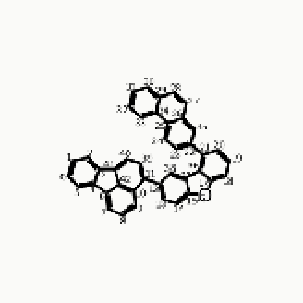 c1ccc2c(c1)-c1cccc3c(-c4ccc5oc6cccc(-c7ccc8c(ccc9ccccc98)c7)c6c5c4)ccc-2c13